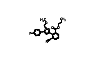 CCCOC(=O)c1cccc(C#N)c1-c1cc(-c2ccc(F)cc2)n(COC)n1